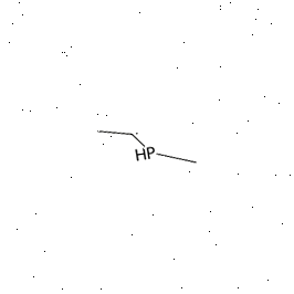 C[CH]PC